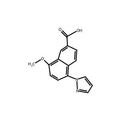 COc1ccc(-n2cccn2)c2ccc(C(=O)O)cc12